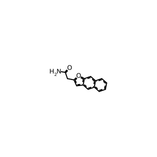 NC(=O)Cc1cc2cc3ccccc3cc2o1